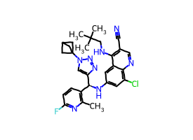 Cc1nc(F)ccc1[C@H](Nc1cc(Cl)c2ncc(C#N)c(NCC(C)(C)C)c2c1)c1cn(C23CC(C2)C3)nn1